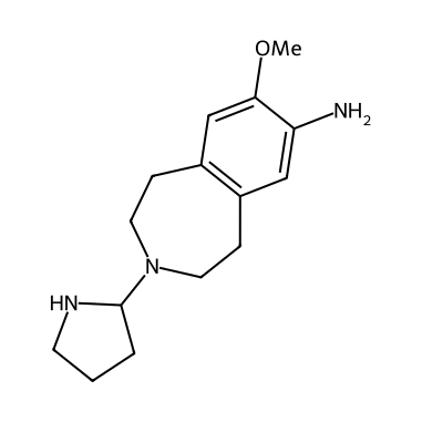 COc1cc2c(cc1N)CCN(C1CCCN1)CC2